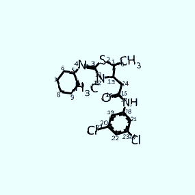 CC1SC(=NC2CCCCC2)N(C)C1CC(=O)Nc1cc(Cl)cc(Cl)c1